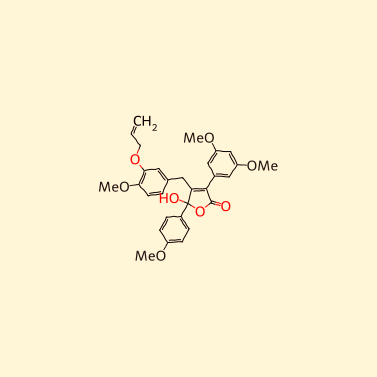 C=CCOc1cc(CC2=C(c3cc(OC)cc(OC)c3)C(=O)OC2(O)c2ccc(OC)cc2)ccc1OC